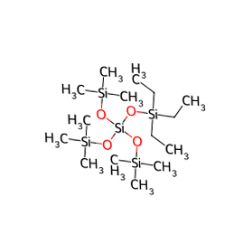 CC[Si](CC)(CC)O[Si](O[Si](C)(C)C)(O[Si](C)(C)C)O[Si](C)(C)C